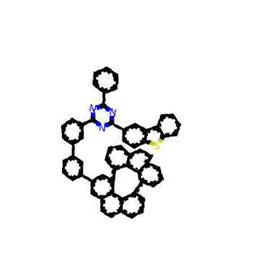 c1ccc(-c2nc(-c3cccc(-c4cccc(-c5cc6ccc7cccc8c9cccc%10ccc%11cccc(c(c5)c6c78)c%11c%109)c4)c3)nc(-c3ccc4sc5ccccc5c4c3)n2)cc1